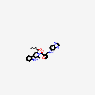 CNC(=O)[C@H]1Cc2c([nH]c3ccccc23)C(C)N1C(=O)c1occc1CNc1ccc2nccnc2c1